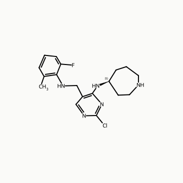 Cc1cccc(F)c1NCc1cnc(Cl)nc1N[C@H]1CCCNCC1